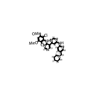 COc1cc(OC)c(Cl)c(Nc2ncncc2-c2cc(Nc3ccc(CN4CCCCC4)cn3)ncn2)c1Cl